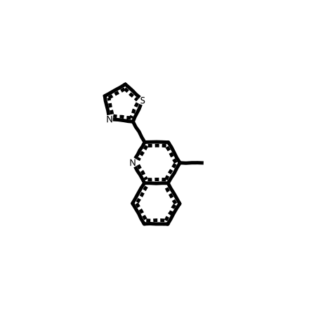 Cc1cc(-c2nccs2)nc2ccccc12